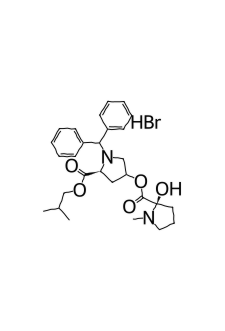 Br.CC(C)COC(=O)[C@@H]1CC(OC(=O)[C@]2(O)CCCN2C)CN1C(c1ccccc1)c1ccccc1